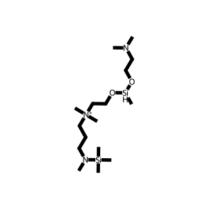 CN(C)CCO[SiH](C)OCC[N+](C)(C)CCCN(C)[Si](C)(C)C